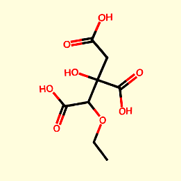 CCOC(C(=O)O)C(O)(CC(=O)O)C(=O)O